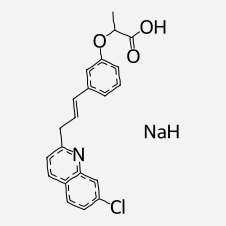 CC(Oc1cccc(C=CCc2ccc3ccc(Cl)cc3n2)c1)C(=O)O.[NaH]